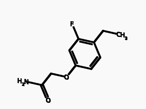 CCc1ccc(OCC(N)=O)cc1F